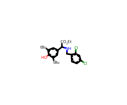 CCOC(=O)C(NCc1ccc(Cl)cc1Cl)c1cc(C(C)(C)C)c(O)c(C(C)(C)C)c1